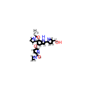 CC(=O)N1CCCC1c1cc2[nH]c(-c3ccc(CO)cn3)cc2cc1Oc1ccc(C(=O)N2CCC2)nc1